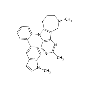 Cc1ncc2c(n1)c1c(n2-c2ccccc2-c2ccc3c(ccn3C)c2)CCCN(C)C1